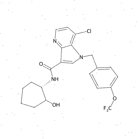 O=C(N[C@H]1CCCCC1O)c1cn(Cc2ccc(OC(F)(F)F)cc2)c2c(Cl)ccnc12